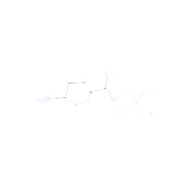 C/C(=N\O[Si](C)(C)C)C1CCC(C#N)CC1